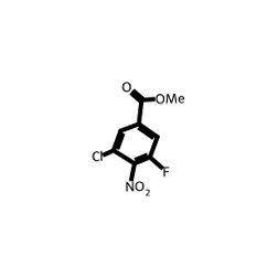 COC(=O)c1cc(F)c([N+](=O)[O-])c(Cl)c1